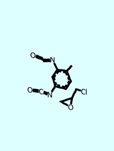 Cc1ccc(N=C=O)cc1N=C=O.ClCC1CO1